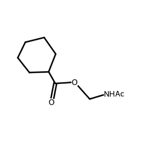 CC(=O)NCOC(=O)C1CCCCC1